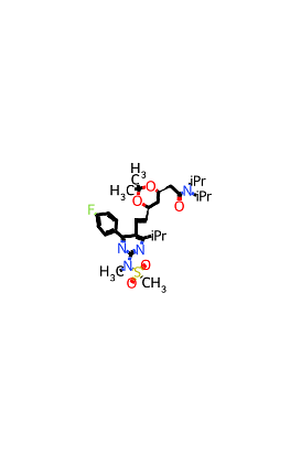 CC(C)c1nc(N(C)S(C)(=O)=O)nc(-c2ccc(F)cc2)c1/C=C/[C@@H]1C[C@H](CC(=O)N(C(C)C)C(C)C)OC(C)(C)O1